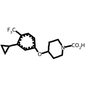 O=C(O)N1CCC(Oc2ccc(C(F)(F)F)c(C3CC3)c2)CC1